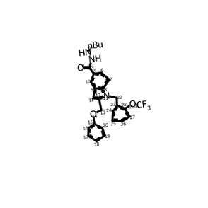 CCCCNNC(=O)c1ccc2c(c1)cc(COc1ccccc1)n2Cc1ccccc1OC(F)(F)F